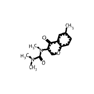 Cc1ccc2occ(N(C)C(=O)N(C)C)c(=O)c2c1